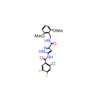 COc1cccc(OC)c1CNC(=O)c1cc(NC(=O)c2cc(F)c(F)cc2Cl)[nH]n1